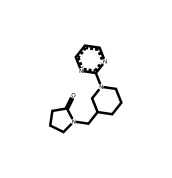 O=C1CCCN1CC1CCCN(c2ncccn2)C1